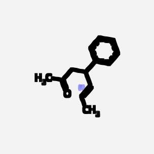 C/C=C/C(CC(C)=O)c1ccccc1